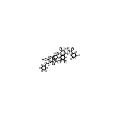 Cc1cc(C)cc(C(=O)N2CCN(C(=O)CNC3C[C@H]4CC3CN4C(=O)N(CCc3ccccc3)C(=O)O)[C@H](c3ccc(Cl)c(Cl)c3)C2)c1